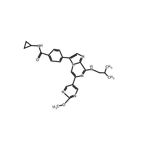 COc1ncc(-c2cn3c(-c4ccc(C(=O)NC5CC5)cc4)cnc3c(NCC(C)C)n2)cn1